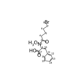 CN(C(=O)CCCCBr)[C@@H](Cc1ccccc1)C(=O)O